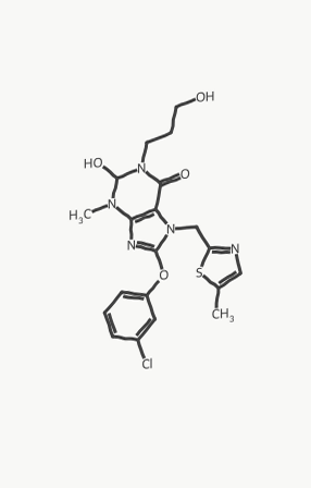 Cc1cnc(Cn2c(Oc3cccc(Cl)c3)nc3c2C(=O)N(CCCO)C(O)N3C)s1